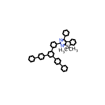 C[Si]1(C)c2ccccc2-c2c(-c3ccccc3)nc(-c3cccc(-c4cc(-c5ccc(-c6ccccc6)cc5)cc(-c5ccc(-c6ccccc6)cc5)c4)c3)nc21